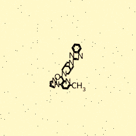 Cc1ccc(-n2cccn2)c(C(=O)N2CC3CC(C2)CN(c2cnc4ccccc4n2)C3)n1